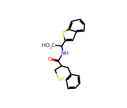 O=C(NC(C(=O)O)c1cc2ccccc2s1)C(CS)Cc1ccccc1